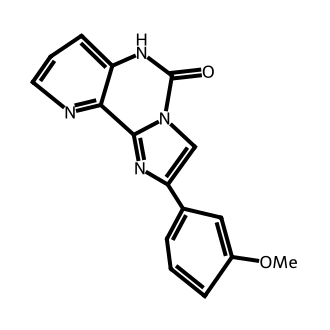 COc1cccc(-c2cn3c(=O)[nH]c4cccnc4c3n2)c1